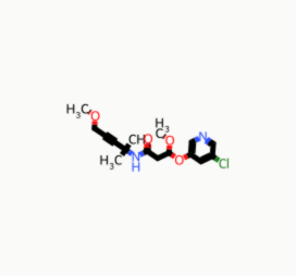 COCC#CC(C)(C)NC(=O)CC(OC)Oc1cncc(Cl)c1